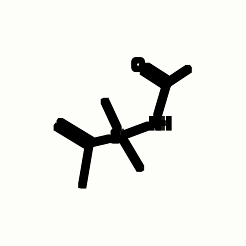 C=C(C)[Si](C)(C)NC(C)=O